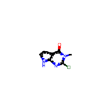 Cn1c(Cl)nc2[nH]ccc2c1=O